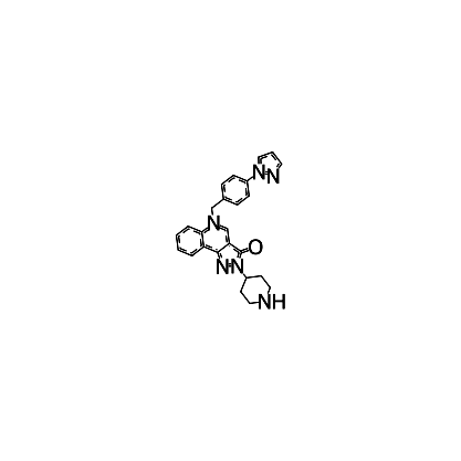 O=c1c2cn(Cc3ccc(-n4cccn4)cc3)c3ccccc3c-2nn1C1CCNCC1